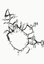 CC[C@@H]1O[C@H](C)CCC=C[C@@H]2C[C@@]2(C(=O)NS(=O)(=O)C2(C)CC2)NC(=O)[C@@H]2C[C@@H](O)CN2C(=O)[C@H]1NC(=O)O